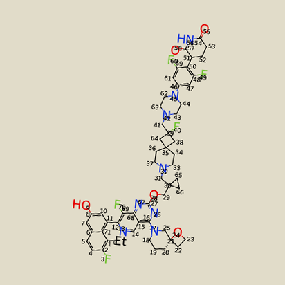 CCc1c(F)ccc2cc(O)cc(-c3ncc4c(N5CCC[C@]6(CCO6)C5)nc(OCC5(CN6CCC7(CC6)CC(F)(CN6CCN(c8cc(F)c(C9CCC(=O)NC9=O)c(F)c8)CC6)C7)CC5)nc4c3F)c12